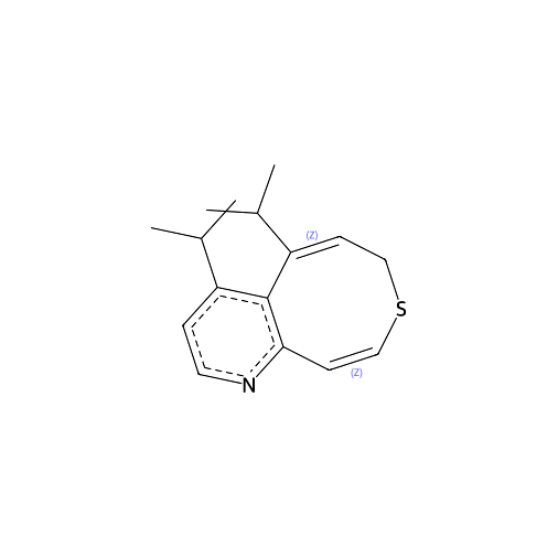 CC(C)/C1=C/CS/C=C\c2nccc(C(C)C)c21